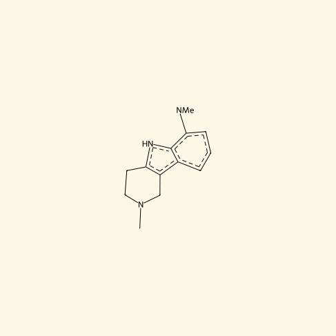 CNc1cccc2c3c([nH]c12)CCN(C)C3